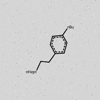 [CH2]CCCc1ccc(CCCCCCCCC)cc1